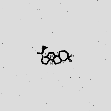 CCC1(CC)CCC[C@]2(C)C3CC[C@]4(C)[C@@H](C(C)=C5CC5)CCC[C@@]4(N)[C@@H]3CC[C@]2(C)C1